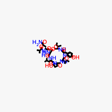 CCC(C)C1NC(=O)C2CC[C@H](O)N2C(=O)C(CC(C)C)NC(=O)[C@@H](NC(=O)[C@H](CCC(N)=O)NC(=O)C(C)C)[C@@H](C)OC(=O)[C@H](C(C)CC)NC(=O)C(Cc2ccc(O)cc2)N(C)C1=O